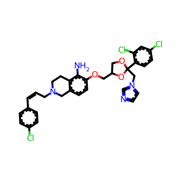 Nc1c(OCC2COC(Cn3ccnc3)(c3ccc(Cl)cc3Cl)O2)ccc2c1CCN(C/C=C\c1ccc(Cl)cc1)C2